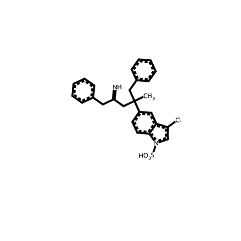 CC(CC(=N)Cc1ccccc1)(Cc1ccccc1)c1ccc2c(c1)c(Cl)cn2S(=O)(=O)O